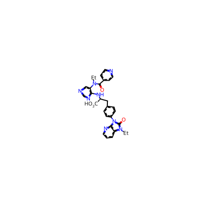 CCN(C(=O)c1ccncc1)c1cncnc1N[C@@H](Cc1ccc(-n2c(=O)n(CC)c3cccnc32)cc1)C(=O)O